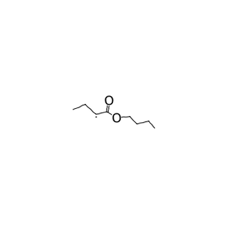 CC[CH]C(=O)OCCCC